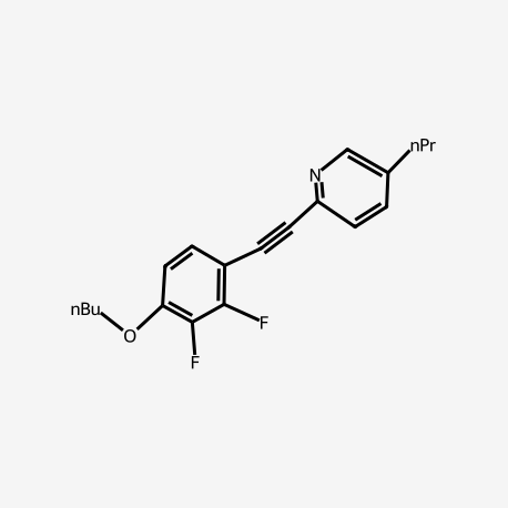 CCCCOc1ccc(C#Cc2ccc(CCC)cn2)c(F)c1F